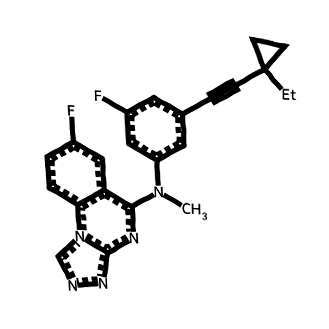 CCC1(C#Cc2cc(F)cc(N(C)c3nc4nncn4c4ccc(F)cc34)c2)CC1